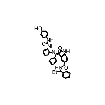 CCC(NC(=O)c1ccc2c(c1)/C(=C(/Nc1ccccc1NC(=O)Nc1ccc(O)cc1)c1ccccc1)C(=O)N2)c1ccccc1